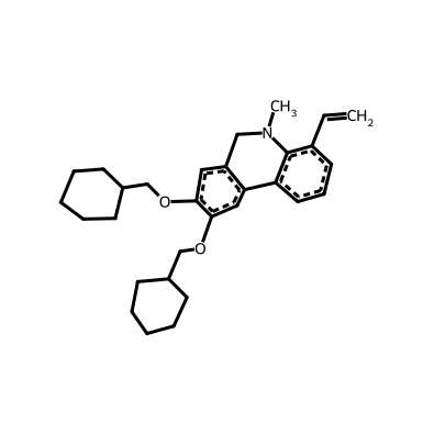 C=Cc1cccc2c1N(C)Cc1cc(OCC3CCCCC3)c(OCC3CCCCC3)cc1-2